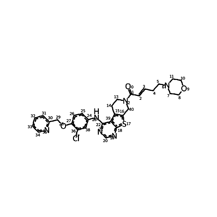 O=C(/C=C/CCN1CCOCC1)N1CCc2c(sc3ncnc(Nc4ccc(OCc5ccccn5)c(Cl)c4)c23)C1